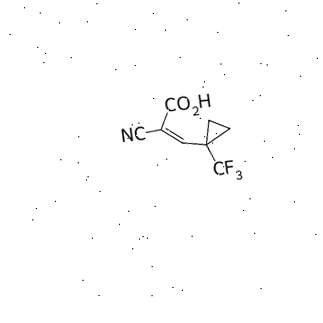 N#CC(=CC1(C(F)(F)F)CC1)C(=O)O